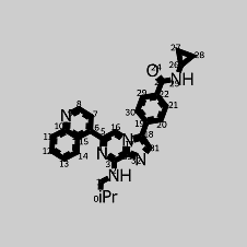 CC(C)CNc1nc(-c2ccnc3ccccc23)cn2c(-c3ccc(C(=O)NC4CC4)cc3)cnc12